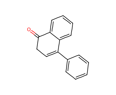 O=C1CC=C(c2ccccc2)c2ccccc21